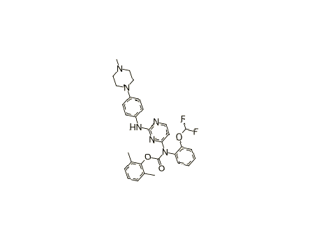 Cc1cccc(C)c1OC(=O)N(c1ccnc(Nc2ccc(N3CCN(C)CC3)cc2)n1)c1ccccc1OC(F)F